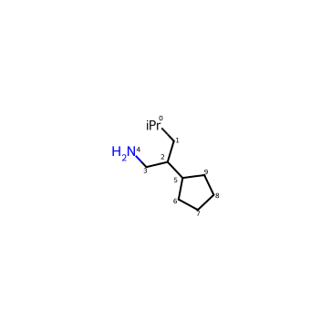 CC(C)CC(CN)C1CCCC1